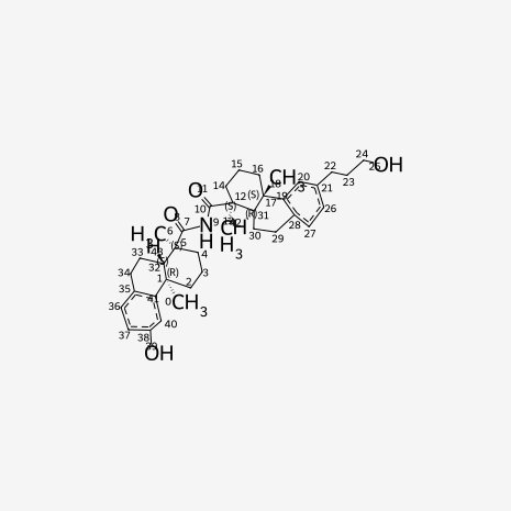 C[C@@]12CCC[C@](C)(C(=O)NC(=O)[C@@]3(C)CCC[C@]4(C)c5cc(CCCO)ccc5CC[C@@H]34)[C@H]1CCc1ccc(O)cc12